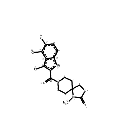 CN1C(=O)OCC12CCN(C(=O)c1[nH]c3ccc(F)c(Cl)c3c1Cl)CC2